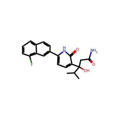 CC(C)C(O)(CC(N)=O)c1ccc(-c2ccc3cccc(F)c3c2)[nH]c1=O